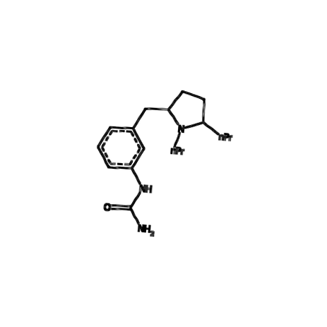 CCCC1CCC(Cc2cccc(NC(N)=O)c2)N1CCC